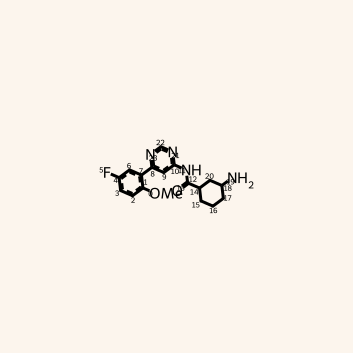 COc1ccc(F)cc1-c1cc(NC(=O)C2CCCC(N)C2)ncn1